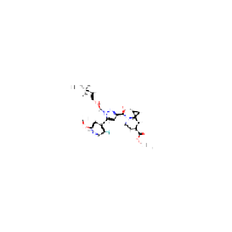 COC(=O)C1CCN(C(=O)c2cc(-c3cc(OC)ncc3F)n(COCC[Si](C)(C)C)n2)C2(CC2)C1